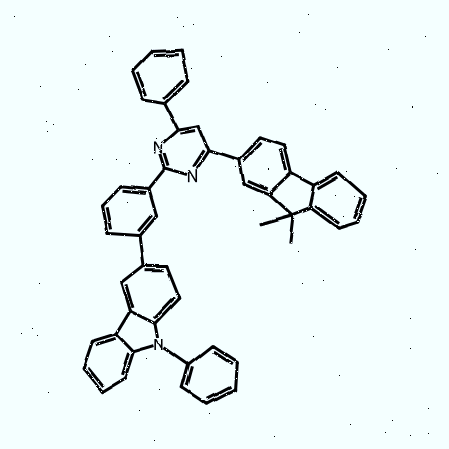 CC1(C)c2ccccc2-c2ccc(-c3cc(-c4ccccc4)nc(-c4cccc(-c5ccc6c(c5)c5ccccc5n6-c5ccccc5)c4)n3)cc21